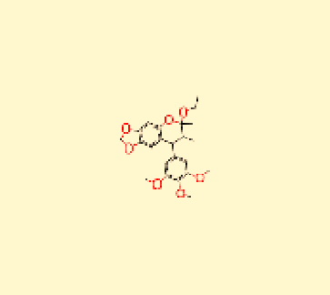 CCOC1(C)Oc2cc3c(cc2C(c2cc(OC)c(OC)c(OC)c2)C1C)OCO3